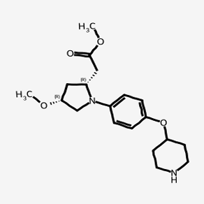 COC(=O)C[C@H]1C[C@@H](OC)CN1c1ccc(OC2CCNCC2)cc1